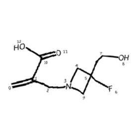 C=C(CN1CC(F)(CO)C1)C(=O)O